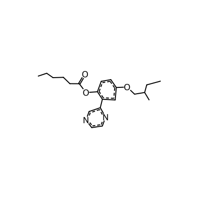 CCCCCC(=O)Oc1ccc(OCC(C)CC)cc1-c1cnccn1